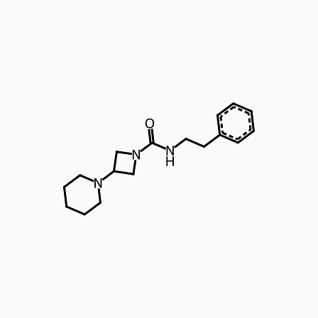 O=C(NCCc1ccccc1)N1CC(N2CCCCC2)C1